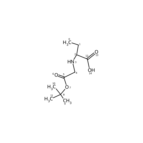 CCC(NCC(=O)OC(C)(C)C)C(=O)O